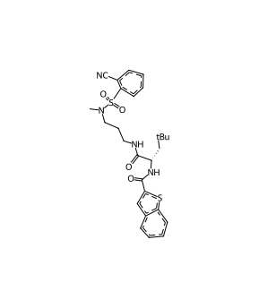 CN(CCCNC(=O)[C@H](CC(C)(C)C)NC(=O)c1cc2ccccc2s1)S(=O)(=O)c1ccccc1C#N